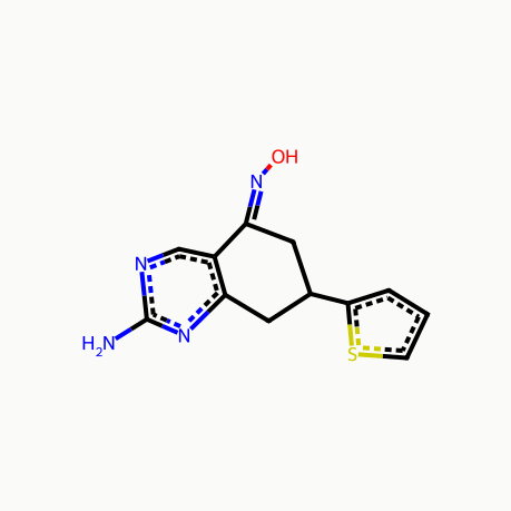 Nc1ncc2c(n1)CC(c1cccs1)C/C2=N\O